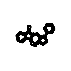 O=C1c2ccccc2C(=O)N1CN1C(=O)CCN1c1ccccc1